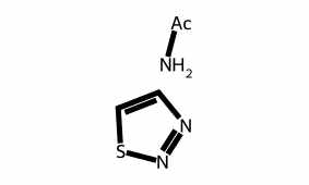 CC(N)=O.c1csnn1